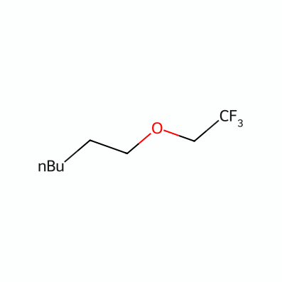 CCCCCCOCC(F)(F)F